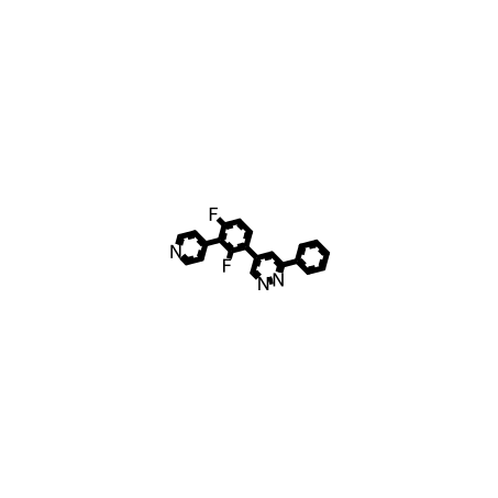 Fc1ccc(-c2cnnc(-c3ccccc3)c2)c(F)c1-c1ccncc1